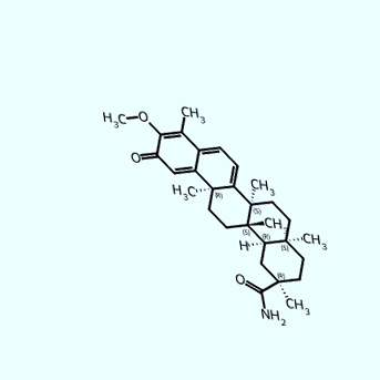 COC1=C(C)C2=CC=C3[C@@](C)(CC[C@@]4(C)[C@@H]5C[C@](C)(C(N)=O)CC[C@]5(C)CC[C@]34C)C2=CC1=O